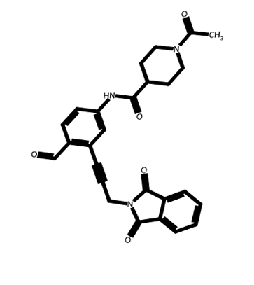 CC(=O)N1CCC(C(=O)Nc2ccc(C=O)c(C#CCN3C(=O)c4ccccc4C3=O)c2)CC1